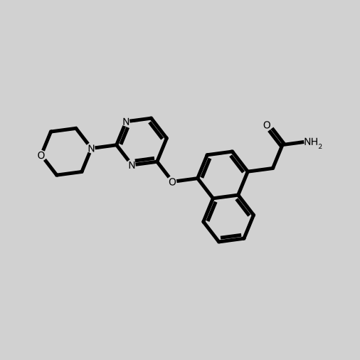 NC(=O)Cc1ccc(Oc2ccnc(N3CCOCC3)n2)c2ccccc12